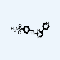 NS(=O)(=O)c1ccc(CNc2nccc(-c3ccncc3)n2)cc1